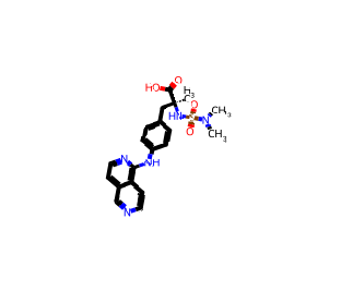 CN(C)S(=O)(=O)N[C@@](C)(Cc1ccc(Nc2nccc3cnccc23)cc1)C(=O)O